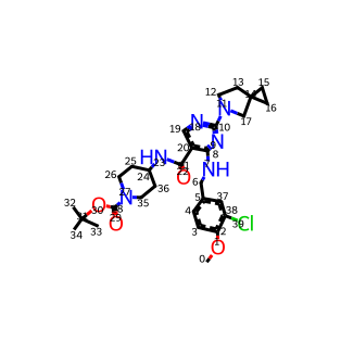 COc1ccc(CNc2nc(N3CCC4(CC4)C3)ncc2C(=O)NC2CCN(C(=O)OC(C)(C)C)CC2)cc1Cl